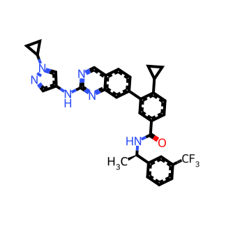 C[C@@H](NC(=O)c1ccc(C2CC2)c(-c2ccc3cnc(Nc4cnn(C5CC5)c4)nc3c2)c1)c1cccc(C(F)(F)F)c1